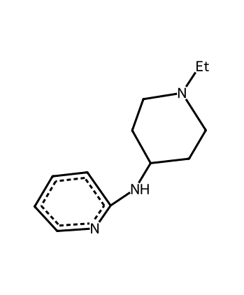 CCN1CCC(Nc2ccccn2)CC1